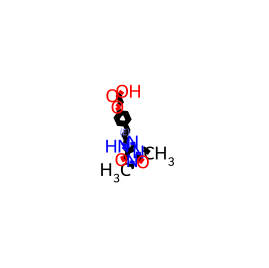 CCn1c(=O)c2[nH]c(/C=C/c3ccc(OCC(=O)O)cc3)nc2n(CC)c1=O